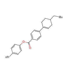 CCCc1ccc(OC(=O)c2ccc(C3=CCC(CC(C)CC)CC3)cc2)cc1